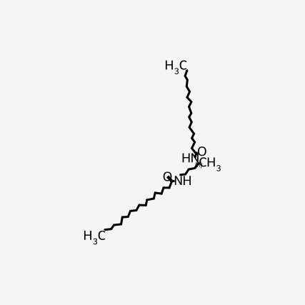 CCCCCCCCCCCCCCCCCC(=O)NCCCC[C@@H](C)NC(=O)CCCCCCCCCCCCCCCCC